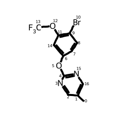 Cc1cnc(Oc2ccc(Br)c(OC(F)(F)F)c2)nc1